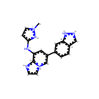 Cn1ccc(Nc2cc(-c3ccc4cn[nH]c4c3)cn3ccnc23)n1